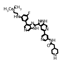 CN(C)CCNc1cc(F)cc(-c2cncc3[nH]c(-c4n[nH]c5cnc(-c6cncc(NC(=O)CC7CCNCC7)c6)cc45)nc23)c1